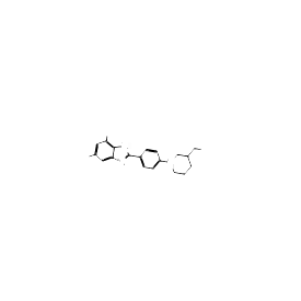 OCC1CCCN(c2ccc(-c3nc4cc(F)cc(F)c4[nH]3)cc2)C1